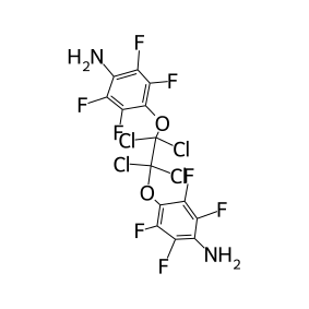 Nc1c(F)c(F)c(OC(Cl)(Cl)C(Cl)(Cl)Oc2c(F)c(F)c(N)c(F)c2F)c(F)c1F